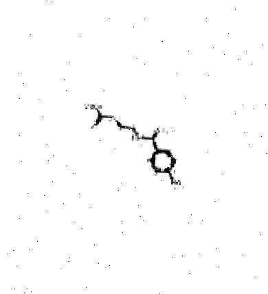 COC(=O)NCCNC(C)c1ccc([N+](=O)[O-])cc1